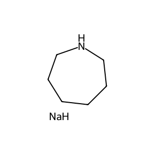 C1CCCNCC1.[NaH]